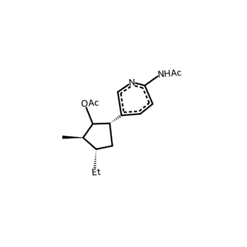 CC[C@H]1C[C@@H](c2ccc(NC(C)=O)nc2)C(OC(C)=O)[C@@H]1C